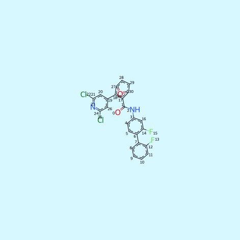 O=C(Nc1ccc(-c2ccccc2F)c(F)c1)c1c(-c2cc(Cl)nc(Cl)c2)c2ccc1o2